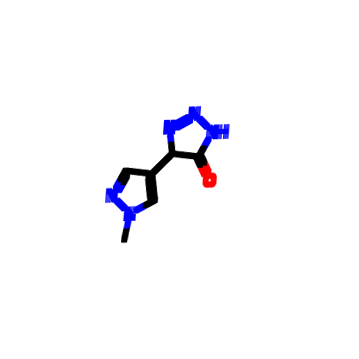 Cn1cc(C2N=NNC2=O)cn1